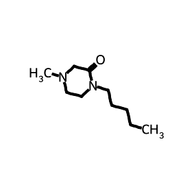 CCCCCN1CCN(C)CC1=O